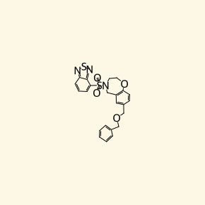 O=S(=O)(c1cccc2nsnc12)N1CCOc2ccc(COCc3ccccc3)cc2C1